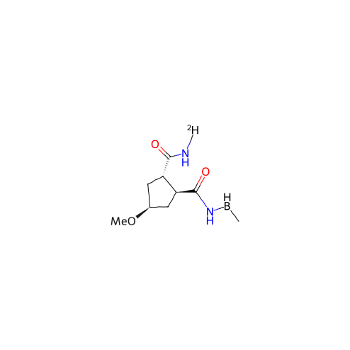 [2H]NC(=O)[C@H]1C[C@H](OC)C[C@@H]1C(=O)NBC